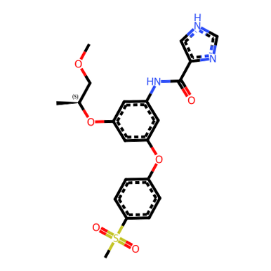 COC[C@H](C)Oc1cc(NC(=O)c2c[nH]cn2)cc(Oc2ccc(S(C)(=O)=O)cc2)c1